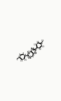 Cc1ccc(C2=NCc3sc(-c4ccc(C)cc4)nc3S2)cc1